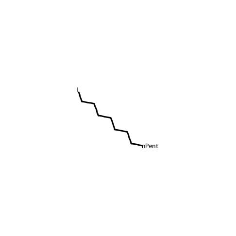 CCCCCCCCCCCCI